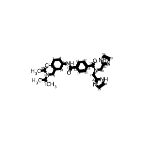 CC(C)N(CC1CCCC(NC(=O)c2ccc(C(=O)N(Cc3ncc[nH]3)Cc3ncc[nH]3)cc2)C1)C(C)C